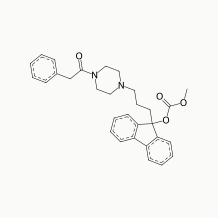 COC(=O)OC1(CCCN2CCN(C(=O)Cc3ccccc3)CC2)c2ccccc2-c2ccccc21